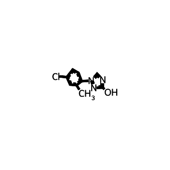 Cc1cc(Cl)ccc1-n1cnc(O)n1